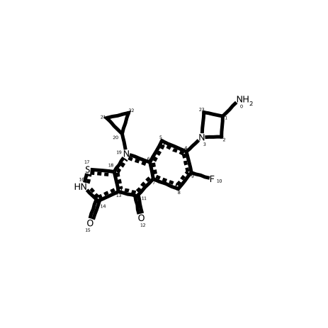 NC1CN(c2cc3c(cc2F)c(=O)c2c(=O)[nH]sc2n3C2CC2)C1